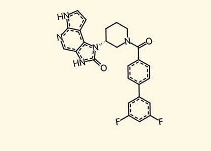 O=C(c1ccc(-c2cc(F)cc(F)c2)cc1)N1CCC[C@@H](n2c(=O)[nH]c3cnc4[nH]ccc4c32)C1